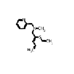 C=C/C=C(/CN(C)Cc1ccccn1)SC=C